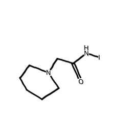 O=C(CN1CCCCC1)NI